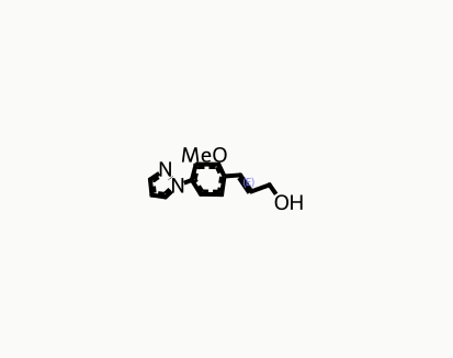 COc1cc(/C=C/CO)ccc1-n1cccn1